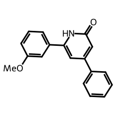 COc1cccc(-c2cc(-c3ccccc3)cc(=O)[nH]2)c1